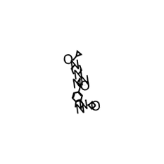 O=C(C1CC1)N1CCN(c2noc(-c3ccc4cnn(C5COC5)c4c3)n2)CC1